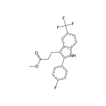 COC(=O)CCc1c(-c2ccc(F)cc2)[nH]c2ccc(C(F)(F)F)cc12